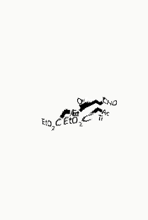 CCC(=O)CC=O.CCOC(=O)CC(C)=O.CCOC(=O)CC(C)=O.[Ti]